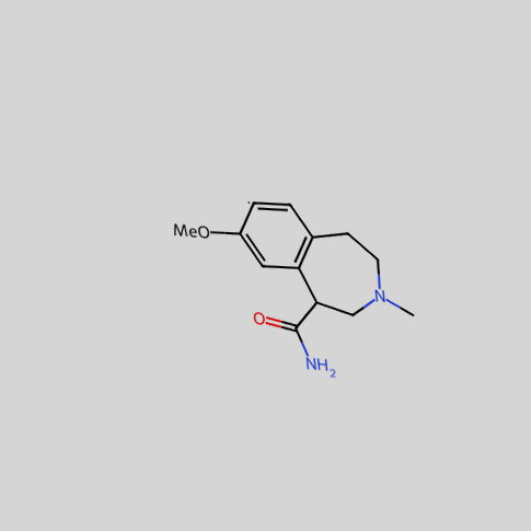 COc1[c]cc2c(c1)C(C(N)=O)CN(C)CC2